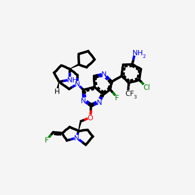 Nc1cc(Cl)c(C(F)(F)F)c(-c2ncc3c(N4C[C@@H]5CC[C@](C6CCCC6)(C4)N5)nc(OC[C@@]45CCCN4C/C(=C\F)C5)nc3c2F)c1